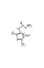 C[C@@H](CN)Oc1ncc(C(F)(F)F)cc1Cl.Cl